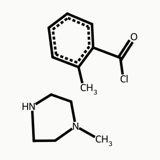 CN1CCNCC1.Cc1ccccc1C(=O)Cl